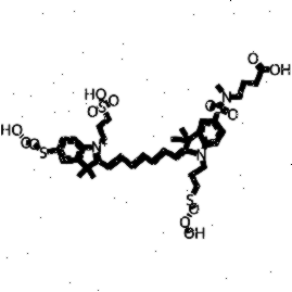 CN(CCCC(=O)O)S(=O)(=O)c1ccc2c(c1)C(C)(C)\C(=C/C=C/C=C/C=C/C1=[N+](CCCS(=O)(=O)O)c3ccc(SOOO)cc3C1(C)C)N2CCCSOOO